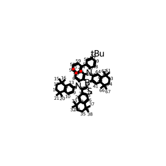 Cc1cc2c3c(c1)N(c1ccc4c(c1)C(C)(C)CCC4(C)C)c1c(sc4cc5c(cc14)C(C)(C)CCC5(C)C)B3c1cc3c(cc1N2c1ccc(C(C)(C)C)cc1-c1ccccc1)C(C)(C)CCC3(C)C